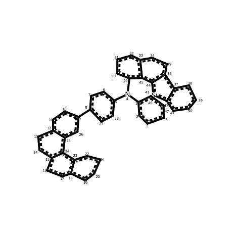 c1ccc(N(c2ccc(-c3ccc4ccc5ccc6ccccc6c5c4c3)cc2)c2cccc3ccc4c5ccccc5sc4c23)cc1